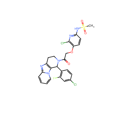 CS(=O)(=O)Nc1ccc(OCC(=O)N2CCc3nc4ccccn4c3C2c2ccc(Cl)cc2F)c(Cl)n1